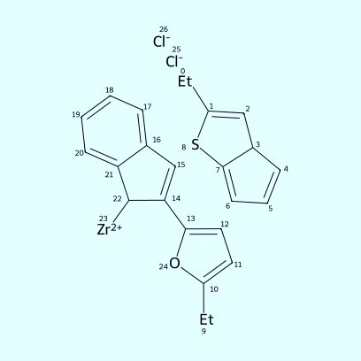 CCC1=CC2C=CC=C2S1.CCc1ccc(C2=Cc3ccccc3[CH]2[Zr+2])o1.[Cl-].[Cl-]